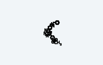 CS(=O)(=O)N1CCC(c2cc(-c3ccc4cn(Cc5ccccc5)nc4c3)c3c(N)ncnn23)CC1